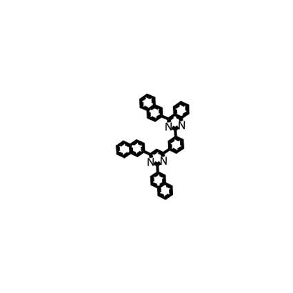 c1cc(-c2cc(-c3ccc4ccccc4c3)nc(-c3ccc4ccccc4c3)n2)cc(-c2nc(-c3ccc4ccccc4c3)c3ccccc3n2)c1